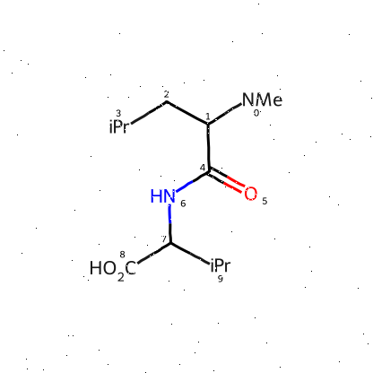 CNC(CC(C)C)C(=O)NC(C(=O)O)C(C)C